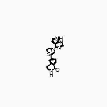 O=C1NCCc2cc(C3=CN(c4ncnc5[nH]ccc45)CCS3)ccc21